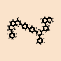 Cc1cc(-c2ccc(-c3ccc(-c4nc(-c5ccccc5)cc(-c5cccc(-c6cccc7ccncc67)c5)n4)cc3)cc2)nc2c1ccc1ccc(-c3ccccc3)nc12